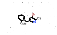 COc1ccccc1Cc1cnc(C#N)c(Br)c1